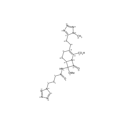 COC1(NC(=O)CSCn2cnnn2)C(=O)N2C(C(=O)O)=C(CSc3nnnn3C)CSC21